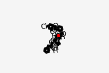 CC(C)(C)[C@H](NC(=O)c1cc2ccccc2[nH]1)C(=O)N1C[C@@H]2C[C@H]1CN2C(=O)[C@H]1CCCN(S(=O)(=O)c2ccc(Cl)cc2Cl)C1